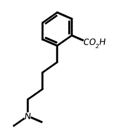 CN(C)CCCCc1ccccc1C(=O)O